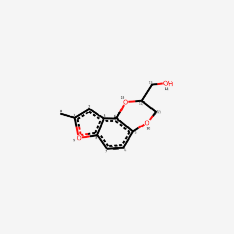 Cc1cc2c3c(ccc2o1)OCC(CO)O3